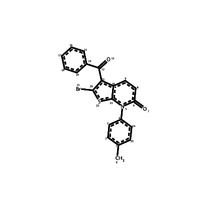 Cc1ccc(-n2c(=O)ccc3c(C(=O)c4ccccc4)c(Br)sc32)cc1